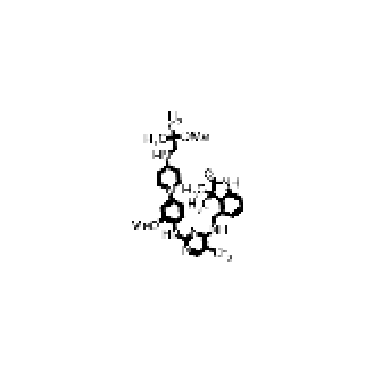 COc1cc(N2CCC(NCC(C)(C)OC)CC2)ccc1Nc1ncc(C(F)(F)F)c(NCc2cccc3c2C(C)(C)C(=O)N3)n1